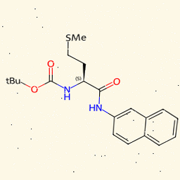 CSCC[C@H](NC(=O)OC(C)(C)C)C(=O)Nc1ccc2ccccc2c1